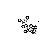 C/C=C\C1=C(CC)c2cc3c4c(n(-c5ccc(-c6nc(-c7ccccc7)nc(-c7ccccc7)n6)c6ccccc56)c3cc2C12C1=CCCC=C1c1ccccc12)=CC=C=C=4